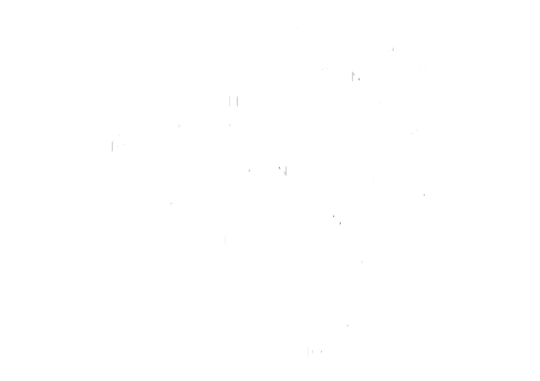 Cc1c(Nc2ccc(Br)cc2F)c(C(=O)NOCCO)c2n(c1=O)CCC2